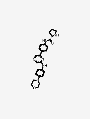 O=C(Nc1ccc(-c2cncc(Nc3ccc(N4CCOCC4)cc3)n2)cc1)[C@@H]1CCCN1